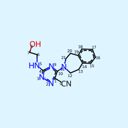 N#Cc1nnc(NCCO)nc1N1CCc2ccccc2CC1